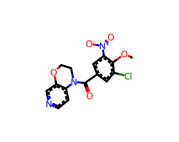 COc1c(Cl)cc(C(=O)N2CCOc3cnccc32)cc1[N+](=O)[O-]